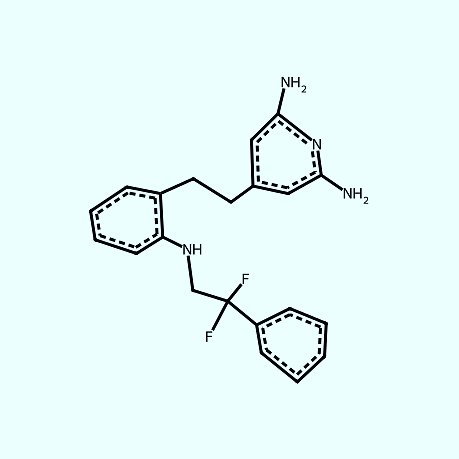 Nc1cc(CCc2ccccc2NCC(F)(F)c2ccccc2)cc(N)n1